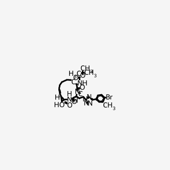 Cc1cc(-c2nnn(C3C[C@H]4C(=O)N[C@@]5(C(=O)O)C[C@H]5/C=C\CCCCC[C@@H](NC(=O)OC(C)(C)C)C(=O)N4C3)n2)ccc1Br